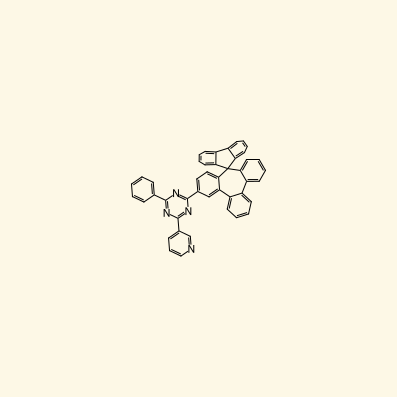 c1ccc(-c2nc(-c3cccnc3)nc(-c3ccc4c(c3)-c3ccccc3-c3ccccc3C43c4ccccc4-c4ccccc43)n2)cc1